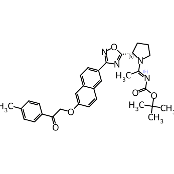 C/C(=N\C(=O)OC(C)(C)C)N1CCC[C@H]1c1nc(-c2ccc3cc(OCC(=O)c4ccc(C)cc4)ccc3c2)no1